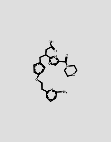 CNc1cccc(CCOc2ccc(CC(CC(=O)O)c3nc(C(=O)N4CCOCC4)co3)cc2)n1